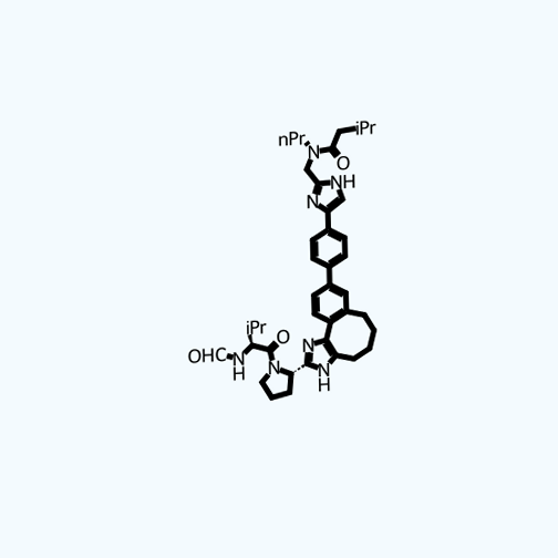 CCCN(Cc1nc(-c2ccc(-c3ccc4c(c3)CCCCc3[nH]c([C@@H]5CCCN5C(=O)[C@@H](NC=O)C(C)C)nc3-4)cc2)c[nH]1)C(=O)CC(C)C